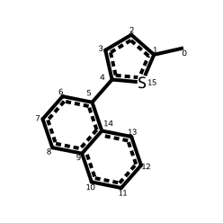 Cc1ccc(-c2cccc3ccccc23)s1